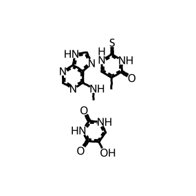 CNc1ncnc2[nH]cnc12.Cc1c[nH]c(=S)[nH]c1=O.O=c1[nH]cc(O)c(=O)[nH]1